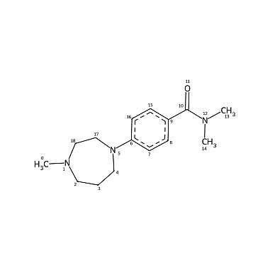 CN1CCCN(c2ccc(C(=O)N(C)C)cc2)CC1